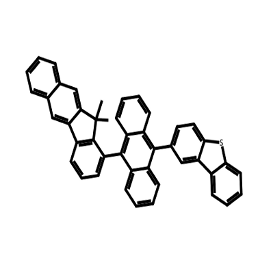 CC1(C)c2cc3ccccc3cc2-c2cccc(-c3c4ccccc4c(-c4ccc5sc6ccccc6c5c4)c4ccccc34)c21